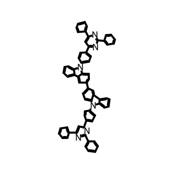 c1ccc(-c2cc(-c3ccc(-n4c5ccccc5c5cc(-c6ccc7c(c6)c6ccccc6n7-c6ccc(-c7cc(-c8ccccc8)nc(-c8ccccc8)n7)cc6)ccc54)cc3)nc(-c3ccccc3)n2)cc1